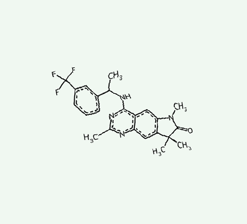 Cc1nc(NC(C)c2cccc(C(F)(F)F)c2)c2cc3c(cc2n1)C(C)(C)C(=O)N3C